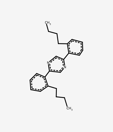 CCCCc1ccccc1-c1cnc(-c2ccccc2CCCC)cn1